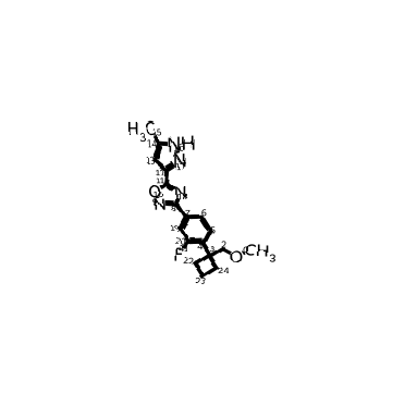 COCC1(c2ccc(-c3noc(-c4cc(C)[nH]n4)n3)cc2F)CCC1